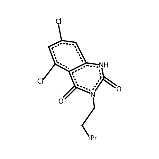 CC(C)CCn1c(=O)[nH]c2cc(Cl)cc(Cl)c2c1=O